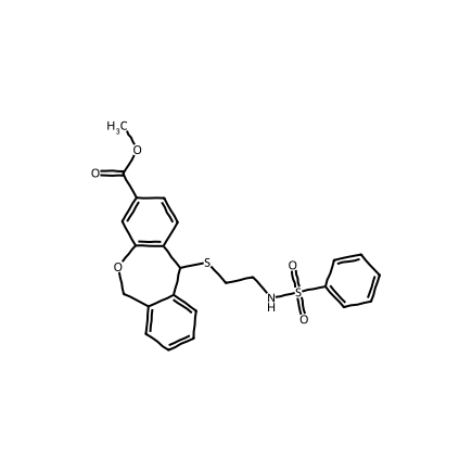 COC(=O)c1ccc2c(c1)OCc1ccccc1C2SCCNS(=O)(=O)c1ccccc1